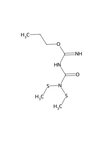 CCCOC(=N)NC(=O)N(SC)SC